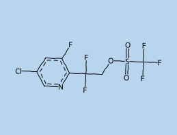 O=S(=O)(OCC(F)(F)c1ncc(Cl)cc1F)C(F)(F)F